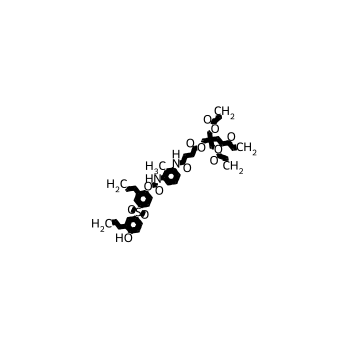 C=CCc1cc(S(=O)(=O)c2ccc(OC(=O)Nc3cccc(NC(=O)CCC(=O)OCC(CCC(=O)C=C)(COC(=O)C=C)COC(=O)C=C)c3C)c(CC=C)c2)ccc1O